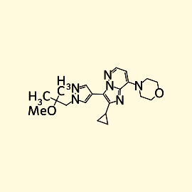 COC(C)(C)Cn1cc(-c2c(C3CC3)nc3c(N4CCOCC4)ccnn23)cn1